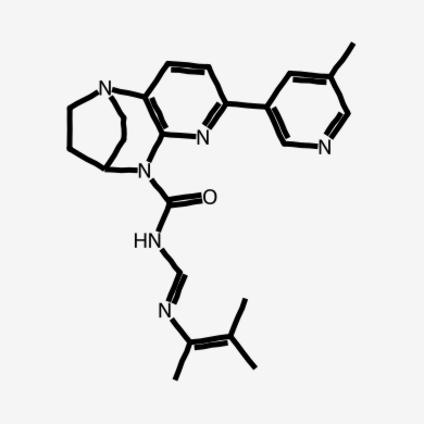 CC(C)=C(C)/N=C/NC(=O)N1c2nc(-c3cncc(C)c3)ccc2N2CCC1CC2